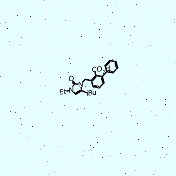 CCC(C)c1cn(CC)c(=O)n1Cc1cccc(-c2ccccc2)c1C(=O)O